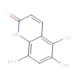 Cc1cc(O)c(O)c2ccc(=O)[nH]c12